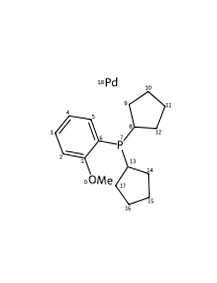 COc1ccccc1P(C1CCCC1)C1CCCC1.[Pd]